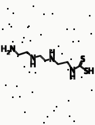 NCCNCCNCCNC(=S)S